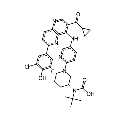 CC(C)(C)N(C(=O)O)[C@@H]1CCCN(c2ccc(Nc3c(C(=O)C4CC4)cnc4ccc(-c5cc(Cl)c(O)c(Cl)c5)nc34)cn2)C1